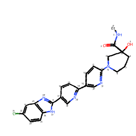 CCNC(=O)C1(O)CCCN(c2ccc(-c3ccc(-c4nc5cc(Cl)ccc5[nH]4)cn3)cn2)C1